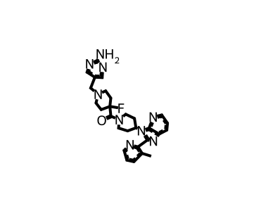 Cc1cccnc1-c1nc2cccnc2n1C1CCN(C(=O)C2(F)CCN(Cc3cnc(N)nc3)CC2)CC1